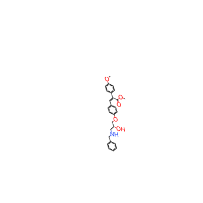 COC(=O)C(=Cc1ccc(OCC(O)CNCc2ccccc2)cc1)c1ccc(OC)cc1